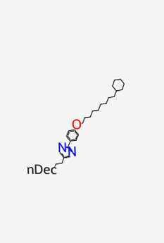 CCCCCCCCCCCCc1cnc(-c2ccc(OCCCCCCCCCC3CCCCC3)cc2)nc1